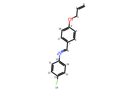 C=CCOc1ccc(/C=N/c2ccc(F)cc2)cc1